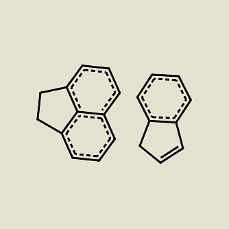 C1=Cc2ccccc2C1.c1cc2c3c(cccc3c1)CC2